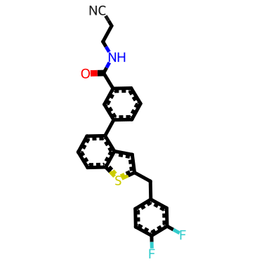 N#CCCNC(=O)c1cccc(-c2cccc3sc(Cc4ccc(F)c(F)c4)cc23)c1